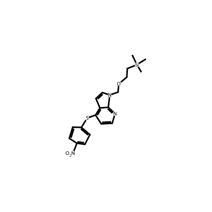 C[Si](C)(C)CCOCn1ccc2c(Sc3ccc([N+](=O)[O-])cc3)ccnc21